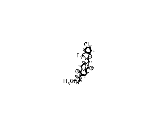 Cc1ncc(-c2ccc3n(c2=O)CCN(CCOc2ccc(Cl)cc2C(F)(F)F)C3=O)s1